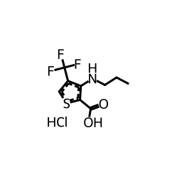 CCCNc1c(C(F)(F)F)csc1C(=O)O.Cl